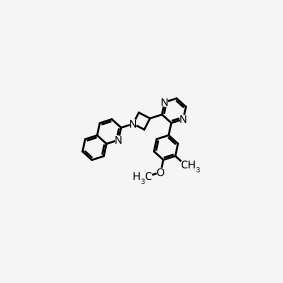 COc1ccc(-c2nccnc2C2CN(c3ccc4ccccc4n3)C2)cc1C